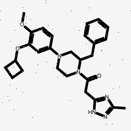 COc1ccc(N2CCN(C(=O)Cc3nc(C)n[nH]3)C(Cc3ccccc3)C2)cc1OC1CCC1